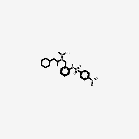 CB(O)N(Cc1ccccc1NS(=O)(=O)c1ccc([N+](=O)[O-])cc1)[C@@H](C)CC1CCCCC1